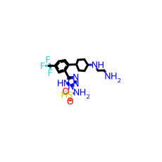 NCCNC1CCC(c2ccc(C(F)(F)F)cc2-c2nnn[nH]2)CC1.N[SH](=O)=O